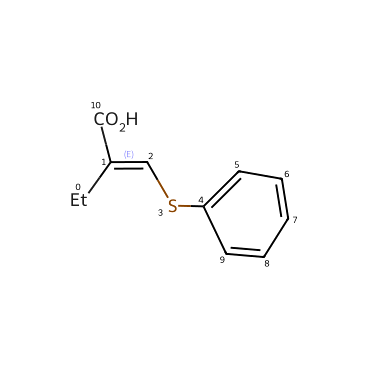 CC/C(=C\Sc1ccccc1)C(=O)O